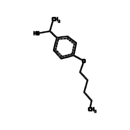 CCCCCOc1ccc(C(C)S)cc1